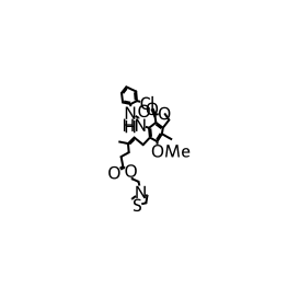 COc1c(C)c2c(c(NC(=O)Nc3ccccc3Cl)c1CC=C(C)CCC(=O)OCCN1CCSC1)C(=O)OC2